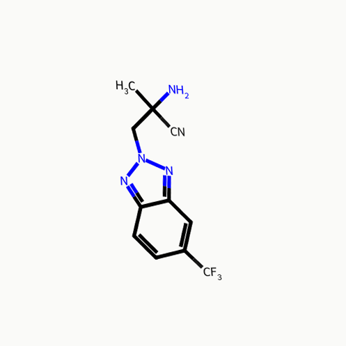 CC(N)(C#N)Cn1nc2ccc(C(F)(F)F)cc2n1